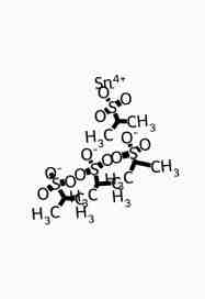 CC(C)S(=O)(=O)[O-].CC(C)S(=O)(=O)[O-].CC(C)S(=O)(=O)[O-].CC(C)S(=O)(=O)[O-].[Sn+4]